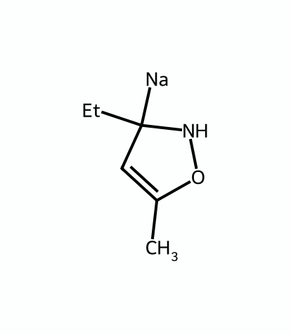 CC[C]1([Na])C=C(C)ON1